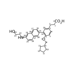 O=C(O)CCc1ccc(OCC2CCCC2)c(-c2ccc3cc(NCCO)ccc3c2)c1